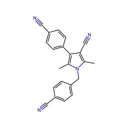 Cc1c(C#N)c(-c2ccc(C#N)cc2)c(C)n1Cc1ccc(C#N)cc1